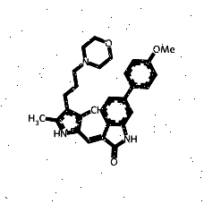 COc1ccc(-c2ccc3c(c2)NC(=O)C3=Cc2[nH]c(C)c(CCCN3CCOCC3)c2C)cc1